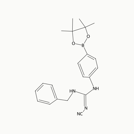 CC1(C)OB(c2ccc(NC(=NC#N)NCc3ccccc3)cc2)OC1(C)C